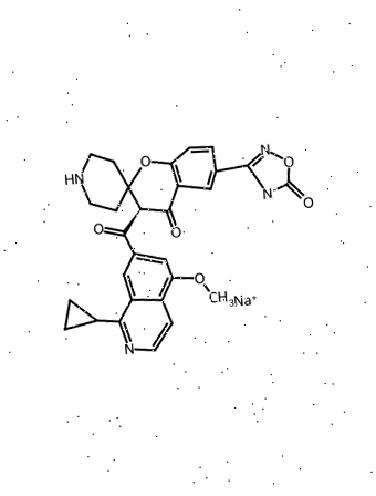 COc1cc(C(=O)[C@@H]2C(=O)c3cc(-c4noc(=O)[n-]4)ccc3OC23CCNCC3)cc2c(C3CC3)nccc12.[Na+]